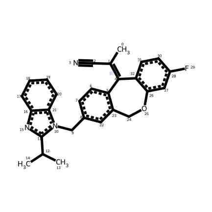 C/C(C#N)=C1/c2ccc(Cn3c(C(C)C)nc4ccccc43)cc2COc2cc(F)ccc21